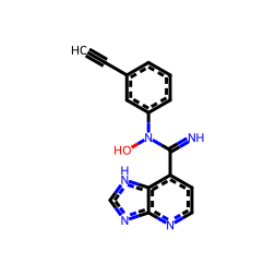 C#Cc1cccc(N(O)C(=N)c2ccnc3nc[nH]c23)c1